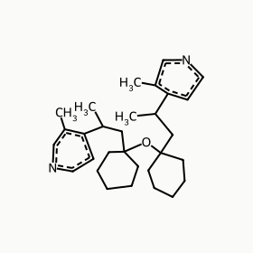 Cc1cnccc1C(C)CC1(OC2(CC(C)c3ccncc3C)CCCCC2)CCCCC1